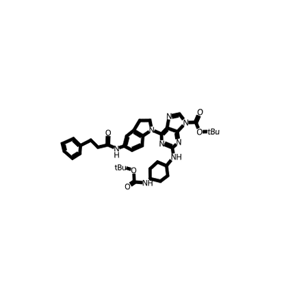 CC(C)(C)OC(=O)NC1CCC(Nc2nc(N3CCc4cc(NC(=O)CCc5ccccc5)ccc43)c3ncn(C(=O)OC(C)(C)C)c3n2)CC1